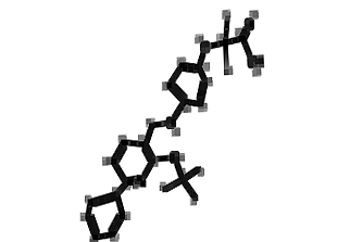 CC(C)(C)Oc1nc(-c2ccccc2)ccc1COc1ccc(OC(C)(C)C(=O)O)cc1